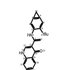 C=C(Nc1cc2c(cc1C(C)(C)C)C2)c1c[nH]c2ccccc2c1=O